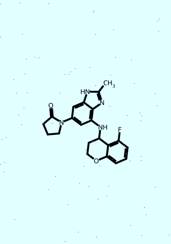 Cc1nc2c(NC3CCOc4cccc(F)c43)cc(N3CCCC3=O)cc2[nH]1